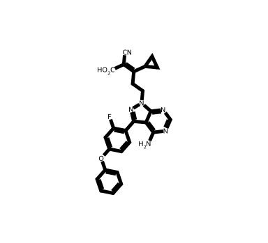 N#CC(C(=O)O)=C(CCn1nc(-c2ccc(Oc3ccccc3)cc2F)c2c(N)ncnc21)C1CC1